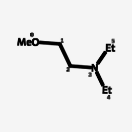 [CH2]OCCN(CC)CC